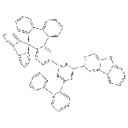 c1ccc(-c2ccccc2-c2cc(-c3ccc4oc5ccccc5c4c3)nc(-c3ccc4c(c3)-c3ccccc3-c3ccccc3C43c4ccccc4-c4ccccc43)n2)cc1